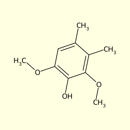 COc1cc(C)c(C)c(OC)c1O